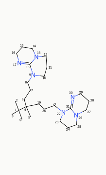 CC(C)(C)C(C)(CCCN1CCCN2CCCN=C21)CCCN1CCCN2CCCN=C21